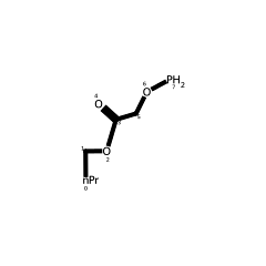 CCCCOC(=O)COP